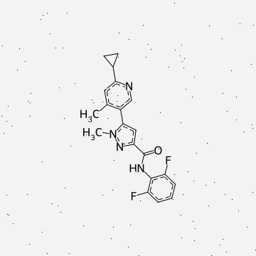 Cc1cc(C2CC2)ncc1-c1cc(C(=O)Nc2c(F)cccc2F)nn1C